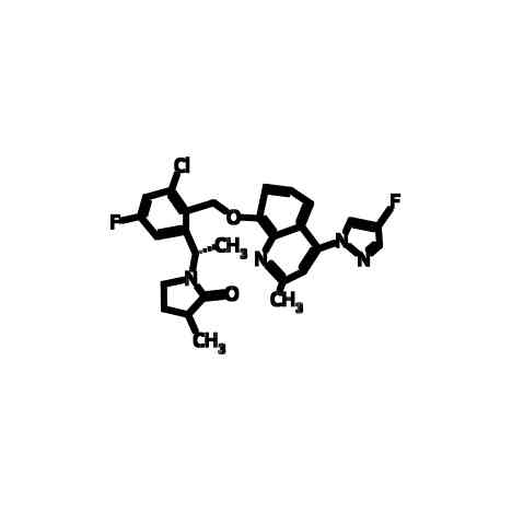 Cc1cc(-n2cc(F)cn2)c2cccc(OCc3c(Cl)cc(F)cc3[C@H](C)N3CCC(C)C3=O)c2n1